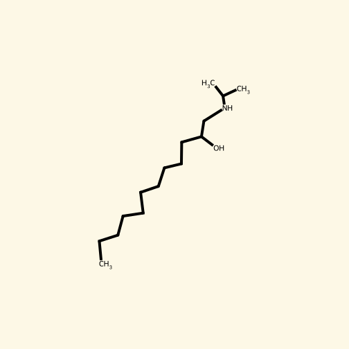 CCCCCCCCCCC(O)CNC(C)C